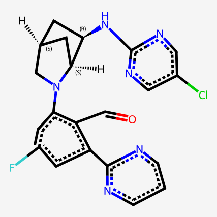 O=Cc1c(-c2ncccn2)cc(F)cc1N1C[C@H]2C[C@@H](Nc3ncc(Cl)cn3)[C@@H]1C2